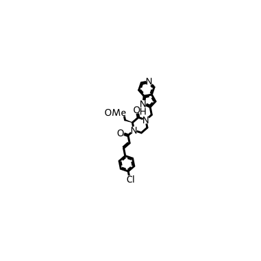 COC[C@H]1C(=O)N(Cc2cc3cnccc3[nH]2)CCN1C(=O)C=Cc1ccc(Cl)cc1